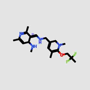 CNC1C=C(C)N=C(C)/C1=C/NCC1=CC(C)=C(OCC(C)(F)F)N(C)C1